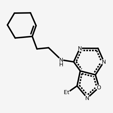 CCc1noc2ncnc(NCCC3=CCCCC3)c12